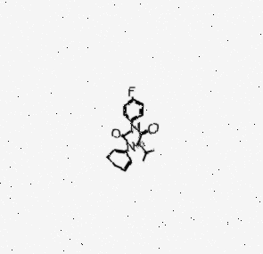 CC(C)[C@@H]1C(=O)N(c2ccc(F)cc2)C(=O)N1C1=CCCC=C1